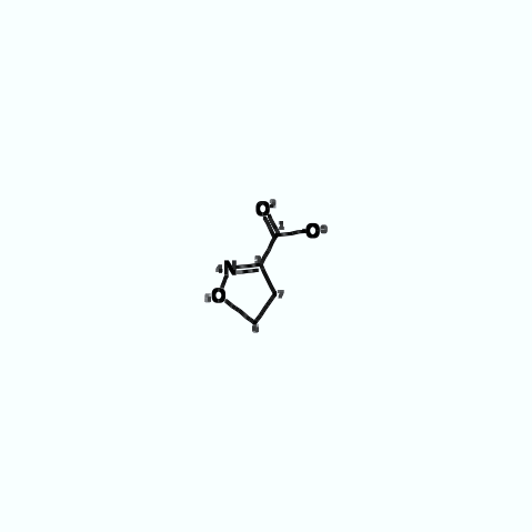 [O]C(=O)C1=NOCC1